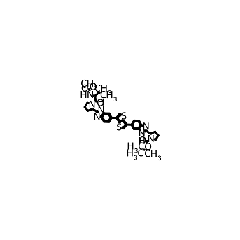 COC(=O)NC(C(=O)N1CCCC1c1nc2ccc(-c3csc4c(-c5ccc6nc(C7CCCN7C(=O)OC(C)(C)C)[nH]c6c5)csc34)cc2[nH]1)C(C)C